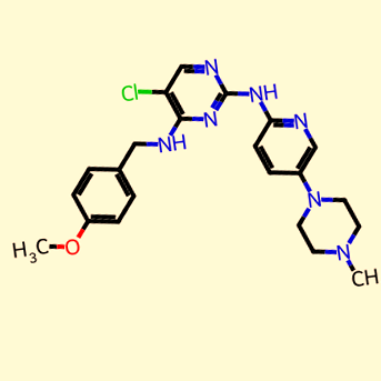 COc1ccc(CNc2nc(Nc3ccc(N4CCN(C)CC4)cn3)ncc2Cl)cc1